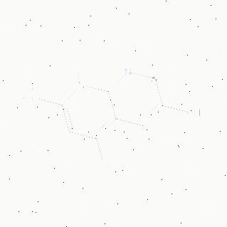 Cc1cc(C(F)(F)F)[nH]c2nc(=S)c(C)cc1-2